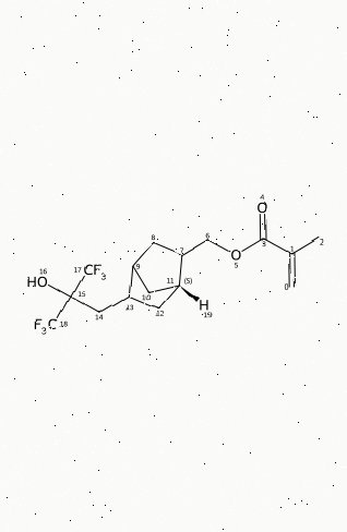 C=C(C)C(=O)OCC1CC2C[C@H]1CC2CC(O)(C(F)(F)F)C(F)(F)F